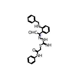 N=C(N/N=C(/C=O)c1ccccc1NCc1ccccc1)SCC(=O)Nc1ccccc1